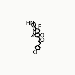 CCn1cc(C(=O)C=Cc2ccc(OC)cc2)c(=O)c2cc(F)c(N3CCNCC3)nc21